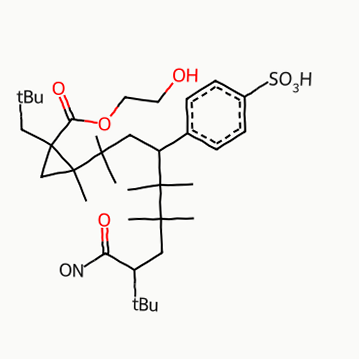 CC(C)(C)CC1(C(=O)OCCO)CC1(C)C(C)(C)CC(c1ccc(S(=O)(=O)O)cc1)C(C)(C)C(C)(C)CC(C(=O)N=O)C(C)(C)C